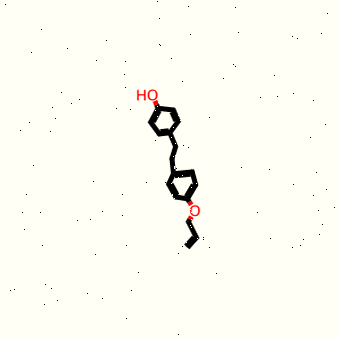 C=CCOc1ccc(CCc2ccc(O)cc2)cc1